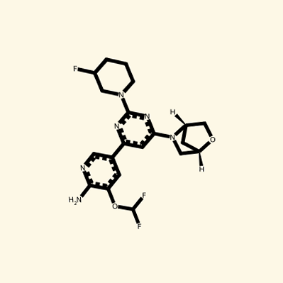 Nc1ncc(-c2cc(N3C[C@@H]4C[C@H]3CO4)nc(N3CCCC(F)C3)n2)cc1OC(F)F